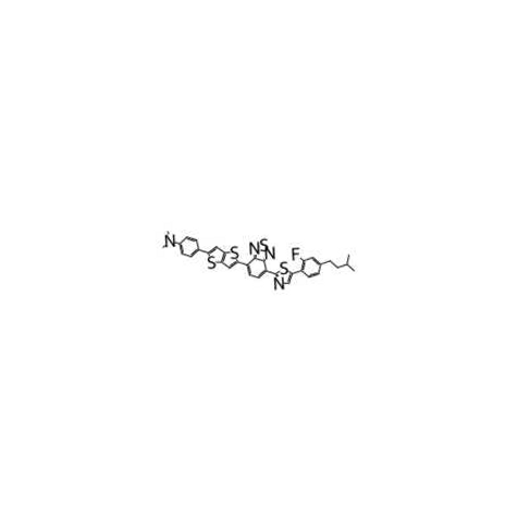 CC(C)CCc1ccc(-c2cnc(-c3ccc(-c4cc5sc(-c6ccc(N(C)C)cc6)cc5s4)c4nsnc34)s2)c(F)c1